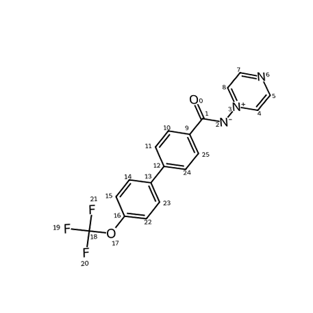 O=C([N-][n+]1ccncc1)c1ccc(-c2ccc(OC(F)(F)F)cc2)cc1